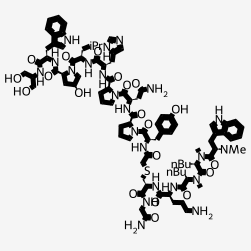 CCCC[C@@H](C(=O)N(C)[C@@H](CCCC)C(=O)N[C@@H](CCCN)C(=O)N[C@@H](CSCC(=O)N[C@@H](Cc1ccc(O)cc1)C(=O)N1CCC[C@H]1C(=O)N[C@@H](CC(N)=O)C(=O)N1CCC[C@H]1C(=O)N[C@@H](Cc1cnc[nH]1)C(=O)N[C@@H](CC(C)C)C(=O)N1C[C@H](O)C[C@H]1C(=O)N[C@@H](Cc1c[nH]c2ccccc12)C(=O)NC(CO)CO)C(=O)NCC(N)=O)N(C)C(=O)[C@H](Cc1c[nH]c2ccccc12)NC